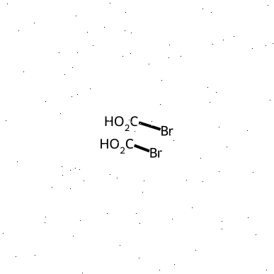 O=C(O)Br.O=C(O)Br